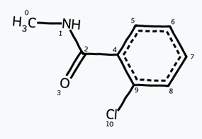 CNC(=O)c1ccccc1Cl